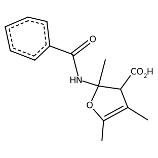 CC1=C(C)C(C(=O)O)C(C)(NC(=O)c2ccccc2)O1